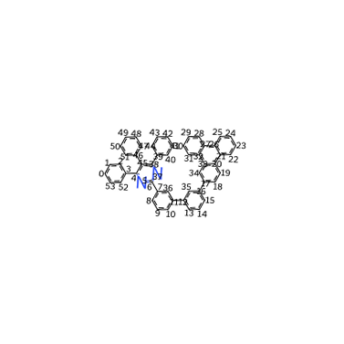 c1ccc(-c2nc(-c3cccc(-c4cccc(-c5ccc6c7ccccc7c7ccccc7c6c5)c4)c3)nc(-c3ccccc3)c2-c2ccccc2)cc1